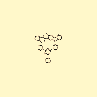 c1ccc(-c2nc(-c3ccccc3)nc(-c3cccc(-n4c5ccccc5c5cc6ccc7c8ccccc8ccc7c6cc54)c3)n2)cc1